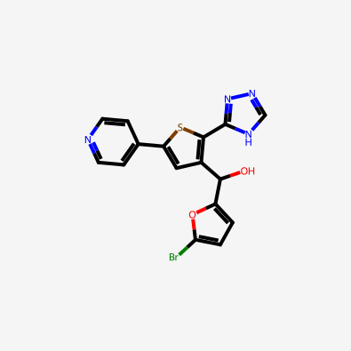 OC(c1ccc(Br)o1)c1cc(-c2ccncc2)sc1-c1nnc[nH]1